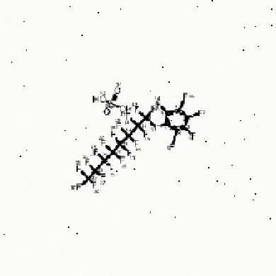 Fc1c(F)c(F)c([I+]C(F)(F)C(F)(F)C(F)(F)C(F)(F)C(F)(F)C(F)(F)C(F)(F)C(F)(F)F)c(F)c1F.O=S(=O)(O)O